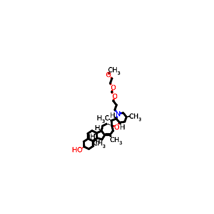 COCCOCOCCCN1C[C@@H](C)C[C@H]2O[C@]3(CC[C@@H]4C(=C(C)C3)C[C@H]3[C@H]4CC=C4C[C@@H](O)CC[C@@]43C)[C@H](C)[C@@H]21